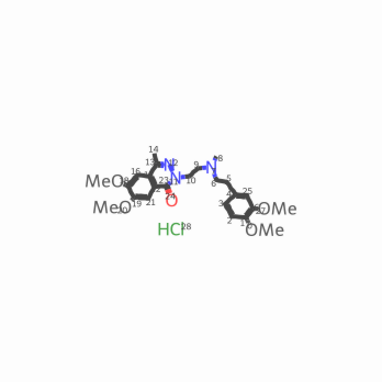 COc1ccc(CCN(C)CCn2nc(C)c3cc(OC)c(OC)cc3c2=O)cc1OC.Cl